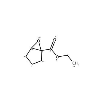 CCOC(=O)C12CCCC1O2